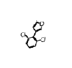 Clc1cccc(Cl)c1-c1c[c]oc1